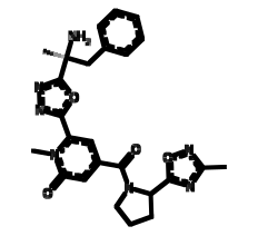 Cc1noc(C2CCCN2C(=O)c2cc(-c3nnc([C@@](C)(N)Cc4ccccc4)o3)n(C)c(=O)c2)n1